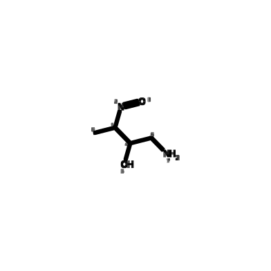 CC(N=O)C(O)CN